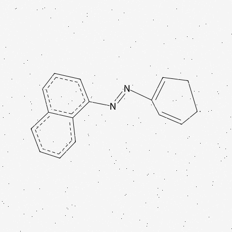 [CH]1C=CC(N=Nc2cccc3ccccc23)=CC1